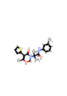 CCC1=C(c2cccs2)C(=O)N(C(C)(C)C(=O)Nc2cccc(C(F)(F)F)c2)CO1